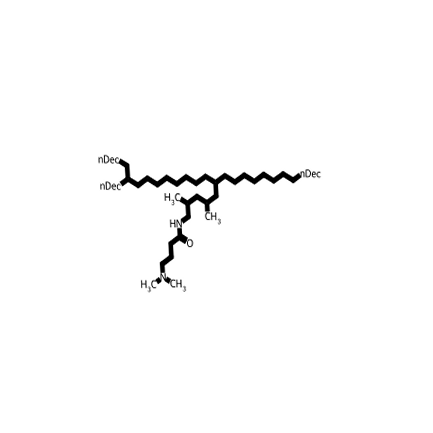 CCCCCCCCCCCCCCCCCCC(CCCCCCCCC(CCCCCCCCCC)CCCCCCCCCCC)CC(C)CC(C)CNC(=O)CCCN(C)C